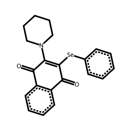 O=C1C([Se]c2ccccc2)=C(N2CCCCC2)C(=O)c2ccccc21